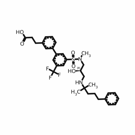 CN(C[C@H](O)CNC(C)(C)CCCc1ccccc1)S(=O)(=O)c1cc(-c2cccc(CCC(=O)O)c2)cc(C(F)(F)F)c1